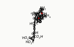 CCCC[C@H](NC(=O)CCC(=O)NCCCOCCOCCOCCCNC(=O)CC[C@H](C(=O)O)N1CCN(CC(=O)O)CCN(CC(=O)O)CC1)C(=O)N[C@@H](CSC1=C(SC[C@H](NC(=O)[C@H](Cc2ccccc2)NC(=O)[C@H](CCC(N)=O)NC(=O)C[C@@H](C)O)C(=O)NCCC(=O)O)C(=O)NC1=O)C(=O)N1CCC[C@H]1C(=O)N1CCC[C@H]1C(N)=O